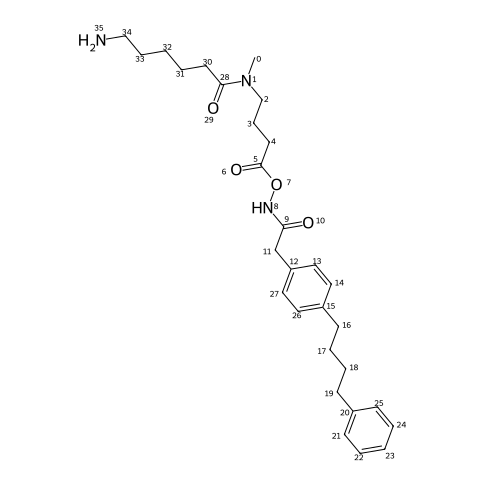 CN(CCCC(=O)ONC(=O)Cc1ccc(CCCCc2ccccc2)cc1)C(=O)CCCCCN